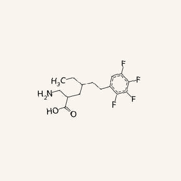 CCC(CCc1cc(F)c(F)c(F)c1F)CC(CN)C(=O)O